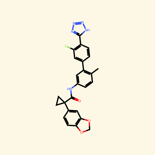 Cc1ccc(NC(=O)C2(c3ccc4c(c3)OCO4)CC2)cc1-c1ccc(-c2nnn[nH]2)c(F)c1